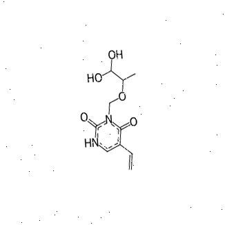 C=Cc1c[nH]c(=O)n(COC(C)C(O)O)c1=O